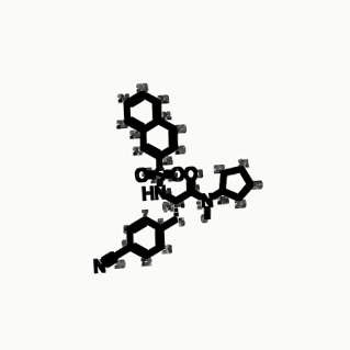 CN(C(=O)[C@H](Cc1ccc(C#N)cc1)NS(=O)(=O)c1ccc2ccccc2c1)C1CCCC1